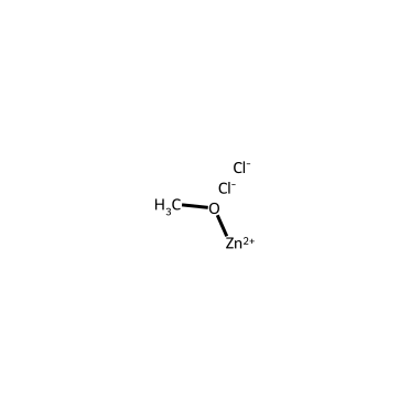 C[O][Zn+2].[Cl-].[Cl-]